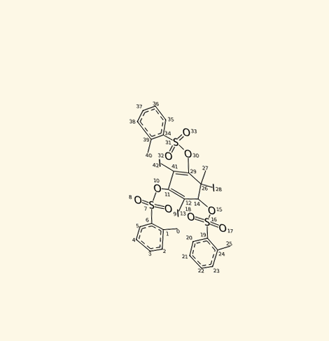 Cc1ccccc1S(=O)(=O)OC1=C(I)C(OS(=O)(=O)c2ccccc2C)C(C)(I)C(OS(=O)(=O)c2ccccc2C)=C1I